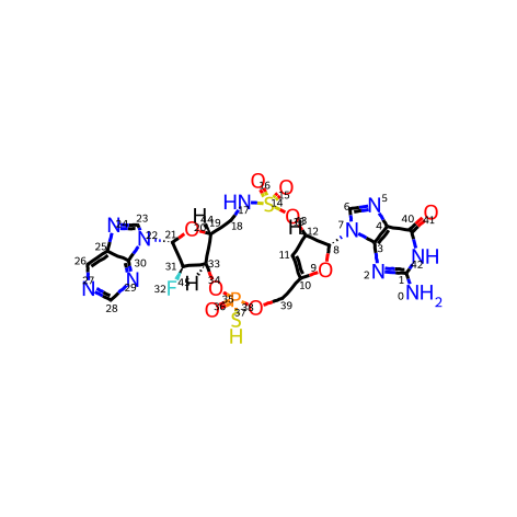 Nc1nc2c(ncn2[C@@H]2OC3=C[C@H]2OS(=O)(=O)NC[C@H]2O[C@@H](n4cnc5cncnc54)[C@H](F)[C@@H]2OP(=O)(S)OC3)c(=O)[nH]1